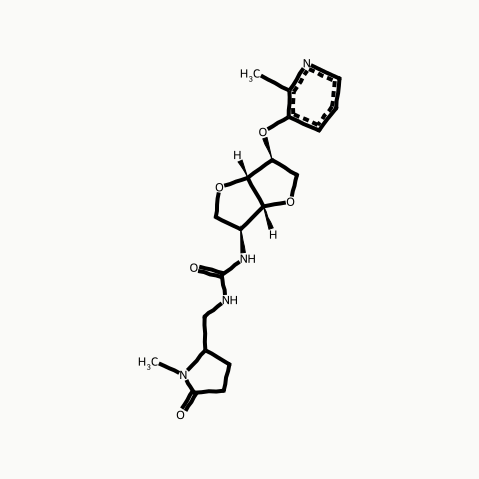 Cc1ncccc1O[C@H]1CO[C@H]2[C@@H]1OC[C@@H]2NC(=O)NCC1CCC(=O)N1C